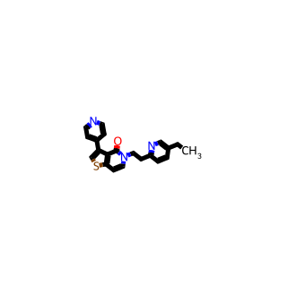 CCc1ccc(CCn2ccc3scc(-c4ccncc4)c3c2=O)nc1